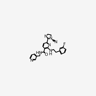 N#CN1CCN=C1c1ccc(C(=O)NCc2cccnc2)c(NCCc2cccc(F)c2)n1